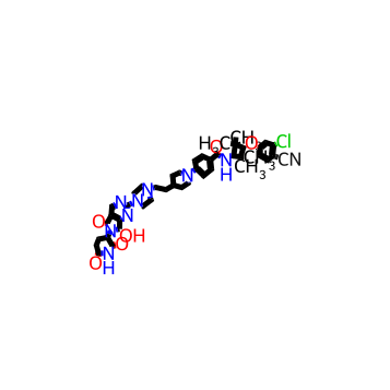 CC1(C)[C@H](NC(=O)c2ccc(N3CCC(CCN4CCN(c5ncc6c(n5)C(O)N(C5CCC(=O)NC5=O)C6=O)CC4)CC3)cc2)C(C)(C)[C@H]1Oc1ccc(C#N)c(Cl)c1